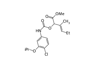 CCC=C(C)C(OC(=O)Nc1ccc(Cl)c(OC(C)C)c1)C(=O)OC